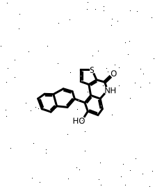 O=c1[nH]c2ccc(O)c(-c3ccc4ccccc4c3)c2c2ccsc12